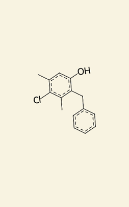 Cc1cc(O)c(Cc2ccccc2)c(C)c1Cl